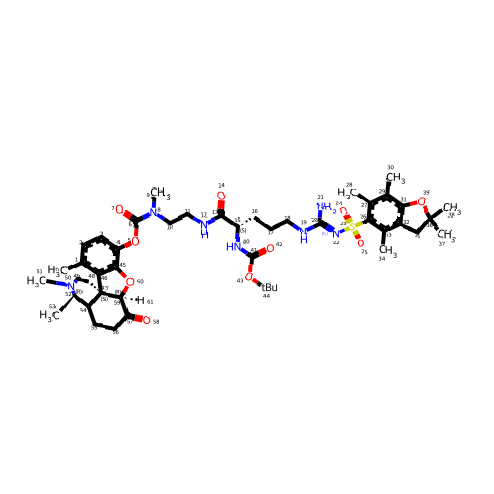 Cc1ccc(OC(=O)N(C)CCNC(=O)[C@H](CCCN/C(N)=N/S(=O)(=O)c2c(C)c(C)c3c(c2C)CC(C)(C)O3)NC(=O)OC(C)(C)C)c2c1[C@]13CCN(C)[C@H](C)C1CCC(=O)[C@@H]3O2